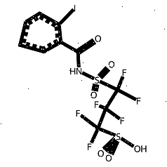 O=C(NS(=O)(=O)C(F)(F)C(F)(F)C(F)(F)S(=O)(=O)O)c1ccccc1I